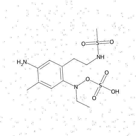 CCN(OS(=O)(=O)O)c1cc(C)c(N)cc1CCNS(C)(=O)=O